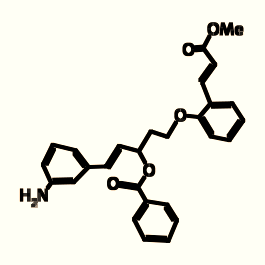 COC(=O)/C=C/c1ccccc1OCCC(C=Cc1cccc(N)c1)OC(=O)c1ccccc1